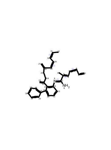 C=C\C=C/C=C(C)/C(N)=N/c1cccc(-c2ccccc2)c1C(=C)CCC(=C)/C=C\C=C/C